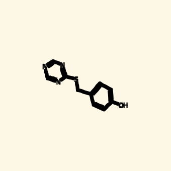 Oc1ccc(CSc2ncncn2)cc1